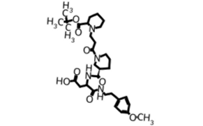 COc1ccc(CCNC(=O)C(CC(=O)O)NC(=O)[C@@H]2CCCN(C(=O)CCN3CCCCC3C(=O)OC(C)(C)C)C2)cc1